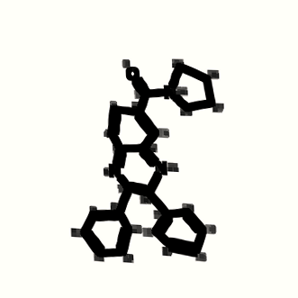 O=C(c1ccc2nc(-c3ccccc3)c(-c3cc#ccc3)nc2c1)N1CCCC1